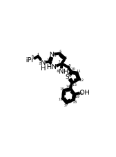 CC(C)CNC1=NC=CC(N)(Cc2ccc(-c3ccccc3O)s2)N1